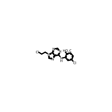 O=C(O)c1ccc(Cl)cc1Nc1ncnc2c1ncn2CCCl